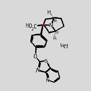 Cl.O=C(O)C1C[C@H]2CC[C@@H](C1)N2Cc1ccc(Oc2nc3ncccc3s2)cc1